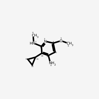 CNc1nc(OC)cc(N)c1C1CC1